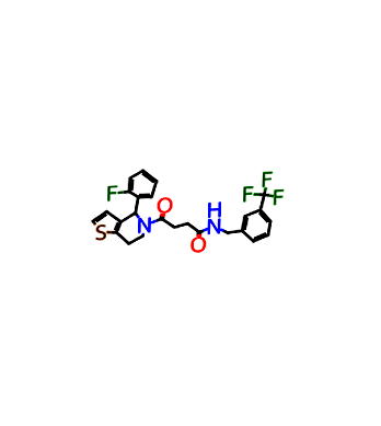 O=C(CCC(=O)N1CCc2sccc2C1c1ccccc1F)NCc1cccc(C(F)(F)F)c1